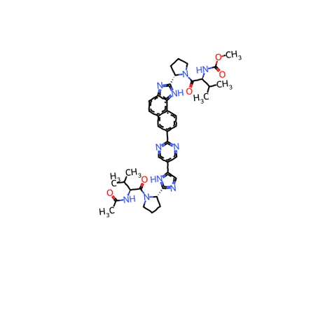 COC(=O)N[C@H](C(=O)N1CCC[C@H]1c1nc2ccc3cc(-c4ncc(-c5cnc([C@@H]6CCCN6C(=O)[C@@H](NC(C)=O)C(C)C)[nH]5)cn4)ccc3c2[nH]1)C(C)C